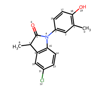 Cc1cc(N2C(=O)C(C)c3cc(Cl)ccc32)ccc1O